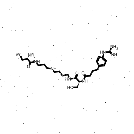 CC(C)C[C@H](N)C(=O)NCCCNCCCCNC(=O)[C@H](CO)NC(=O)CCCc1ccc(NC(=N)N)cc1